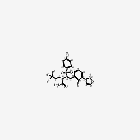 NC(=O)[C@@H](CCC(F)(F)F)N(Cc1cccc(N2C=CON2)c1F)S(=O)(=O)c1ccc(Cl)cc1